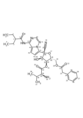 CCC(CC)C(=O)Nc1ncnn2c([C@]3(C#N)O[C@H](COC(=O)Cc4ccccc4)[C@@H](OC(=O)[C@@H](N)C(C)C)[C@H]3O)ccc12